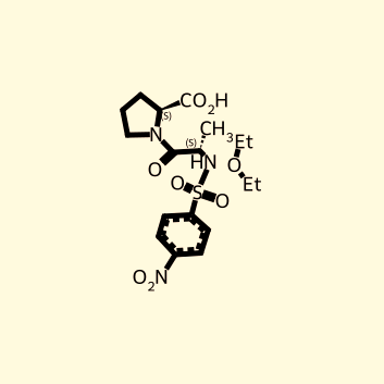 CCOCC.C[C@H](NS(=O)(=O)c1ccc([N+](=O)[O-])cc1)C(=O)N1CCC[C@H]1C(=O)O